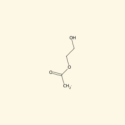 [CH2]C(=O)OCCO